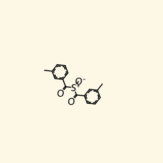 Cc1cccc(C(=O)[S+]([O-])C(=O)c2cccc(C)c2)c1